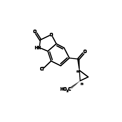 O=C(O)[C@H]1C[C@@H]1C(=O)c1cc(Cl)c2[nH]c(=O)oc2c1